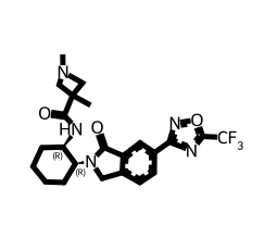 CN1CC(C)(C(=O)N[C@@H]2CCCC[C@H]2N2Cc3ccc(-c4noc(C(F)(F)F)n4)cc3C2=O)C1